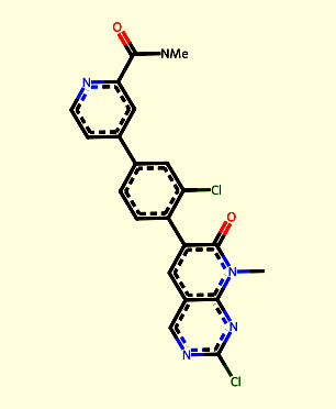 CNC(=O)c1cc(-c2ccc(-c3cc4cnc(Cl)nc4n(C)c3=O)c(Cl)c2)ccn1